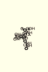 COc1ccc([C@H](CC(=O)O)NC(=O)[C@H](CC(C)C)N2C(=O)N(Cc3ccc(NC(=O)Nc4ccccc4)cc3)C3(CCCCC3)C2=O)cc1.NC(CO)(CO)CO